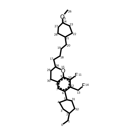 CCC1CCC(c2cc3c(c(F)c2CF)OC(CCCCC2CCC(OC)CC2)CC3)CC1